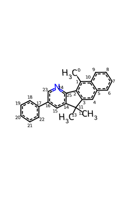 Cc1c2c(cc3ccccc13)C(C)(C)c1cc(-c3ccccc3)cnc1-2